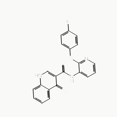 O=C(Nc1cccnc1Oc1ccc(F)cc1)c1c[nH]c2ccccc2c1=O